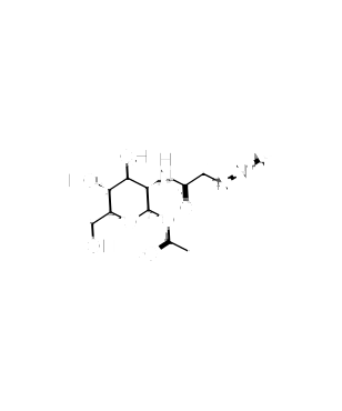 CC(=O)OC1OC(CO)[C@@H](O)C(O)[C@H]1NC(=O)CN=[N+]=[N-]